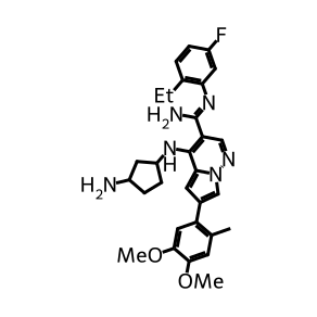 CCc1ccc(F)cc1/N=C(\N)c1cnn2cc(-c3cc(OC)c(OC)cc3C)cc2c1NC1CCC(N)C1